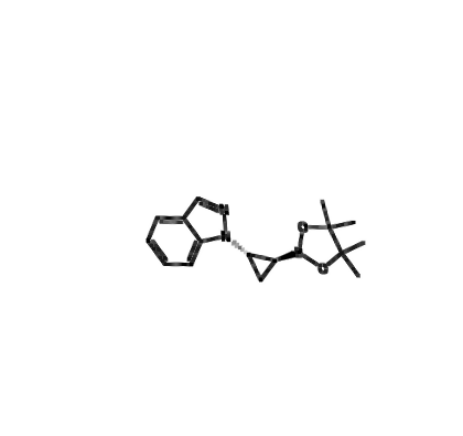 CC1(C)OB([C@H]2C[C@@H]2n2ncc3ccccc32)OC1(C)C